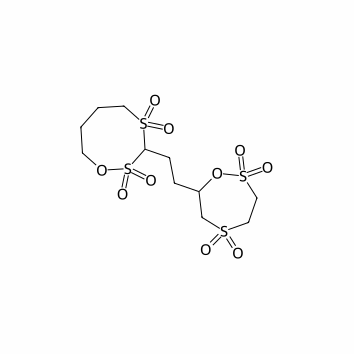 O=S1(=O)CCS(=O)(=O)OC(CCC2S(=O)(=O)CCCCOS2(=O)=O)C1